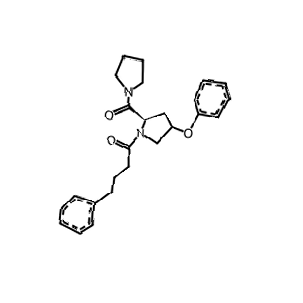 O=C([C@H]1CC(Oc2ccccc2)CN1C(=O)CCCc1ccccc1)N1CCCC1